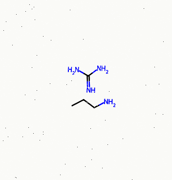 CCCN.N=C(N)N